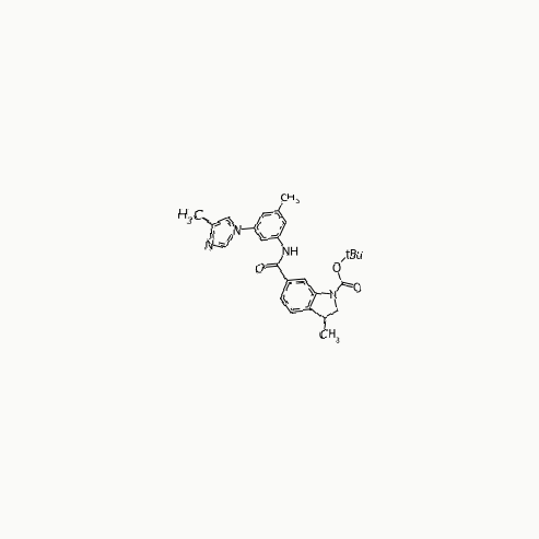 Cc1cc(NC(=O)c2ccc3c(c2)N(C(=O)OC(C)(C)C)CC3C)cc(-n2cnc(C)c2)c1